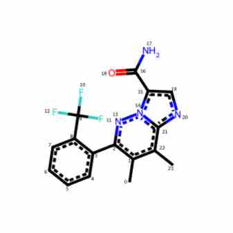 Cc1c(-c2ccccc2C(F)(F)F)nn2c(C(N)=O)cnc2c1C